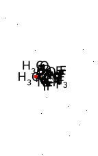 CCN(c1ncc(C(F)(F)F)cc1CN1C(=O)O[C@H](c2cc(C(F)(F)F)cc(C(F)(F)F)c2)[C@@H]1C)C1CCN(C(C)=O)CC1